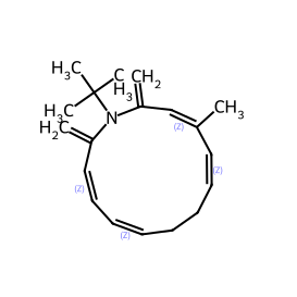 C=C1/C=C\C=C/CC/C=C\C(C)=C/C(=C)N1C(C)(C)C